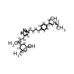 C=C/C(=C\N=C/C)c1ccc(CCCCn2cc(CCN(C)[C@H]3C[C@@H](C)O[C@@H](O)C3)nn2)cc1